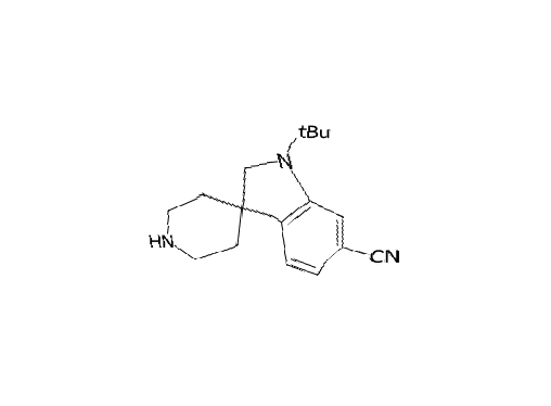 CC(C)(C)N1CC2(CCNCC2)c2ccc(C#N)cc21